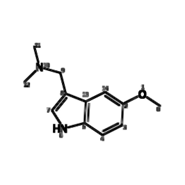 COc1ccc2[nH]cc(CN(C)C)c2c1